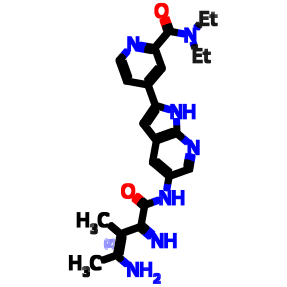 CCN(CC)C(=O)c1cc(-c2cc3cc(NC(=O)C(=N)/C(C)=C(/C)N)cnc3[nH]2)ccn1